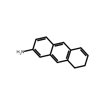 Nc1ccc2cc3c(cc2c1)CCC=C3